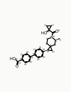 C[C@H]1CC2(CCN1C(=O)C1(O)CC1)C[C@H]2c1ccc(-c2ccc(C(=O)O)cc2)cc1